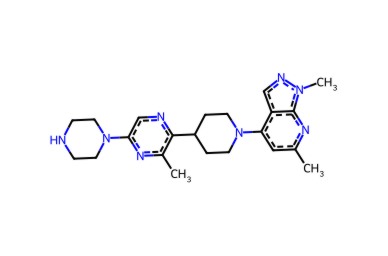 Cc1cc(N2CCC(c3ncc(N4CCNCC4)nc3C)CC2)c2cnn(C)c2n1